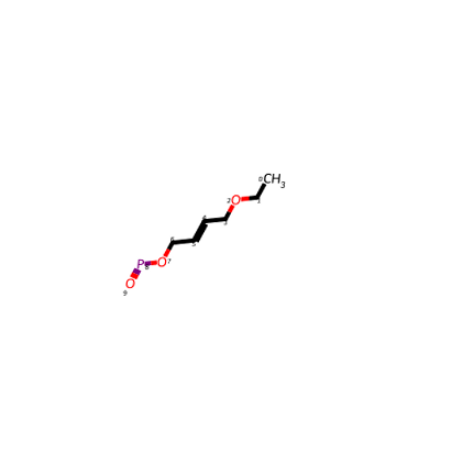 CCOCC=CCOP=O